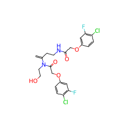 C=C(CCNC(=O)COc1ccc(Cl)c(F)c1)N(CCO)C(=O)COc1ccc(Cl)c(F)c1